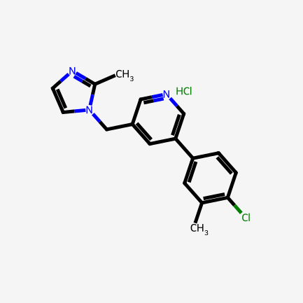 Cc1cc(-c2cncc(Cn3ccnc3C)c2)ccc1Cl.Cl